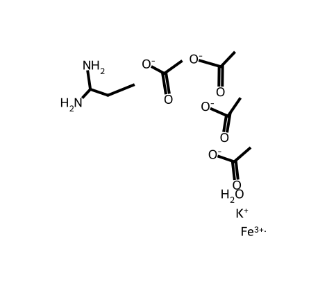 CC(=O)[O-].CC(=O)[O-].CC(=O)[O-].CC(=O)[O-].CCC(N)N.O.[Fe+3].[K+]